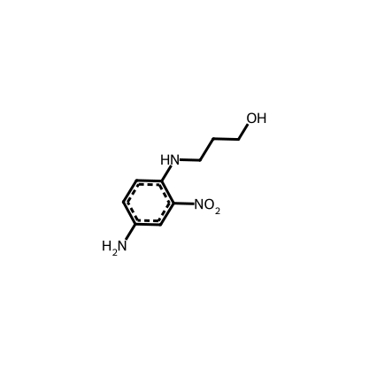 Nc1ccc(NCCCO)c([N+](=O)[O-])c1